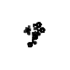 O=C(C[N+]12CCC(CC1)[C@@H](OC(=O)C(Nc1ccccc1F)c1ccccc1)C2)c1ccccc1.O=C([O-])C(F)(F)F